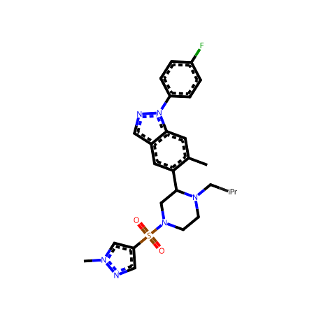 Cc1cc2c(cnn2-c2ccc(F)cc2)cc1C1CN(S(=O)(=O)c2cnn(C)c2)CCN1CC(C)C